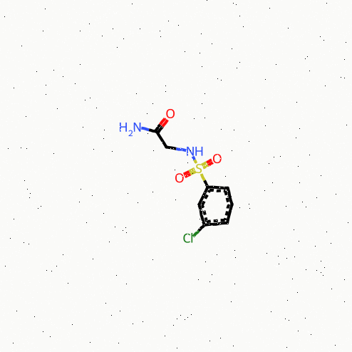 NC(=O)CNS(=O)(=O)c1cccc(Cl)c1